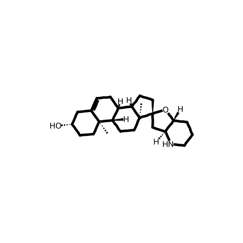 C[C@]12CC[C@H](O)CC1=CC[C@@H]1[C@@H]2CC[C@@]2(C)[C@H]1CC[C@@]21C[C@@H]2NCCC[C@H]2O1